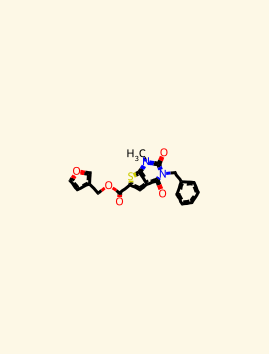 Cn1c(=O)n(Cc2ccccc2)c(=O)c2cc(C(=O)OCc3ccoc3)sc21